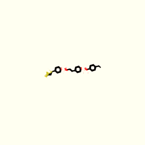 CCc1ccc(C(=O)Oc2ccc(/C=C/C(=O)Oc3ccc(-c4cc(=S)ss4)cc3)cc2)cc1